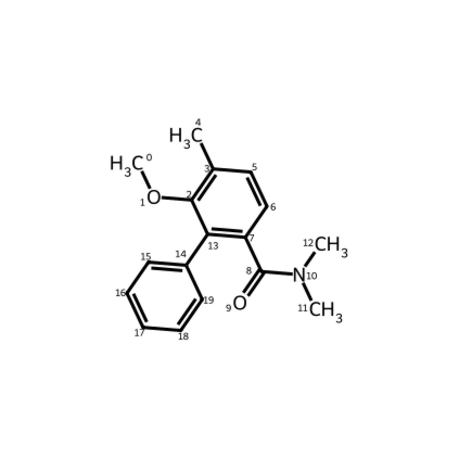 COc1c(C)ccc(C(=O)N(C)C)c1-c1ccccc1